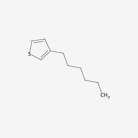 CCCCCCc1c[c]sc1